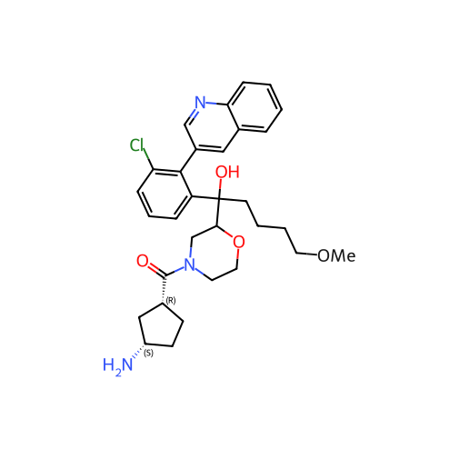 COCCCCC(O)(c1cccc(Cl)c1-c1cnc2ccccc2c1)C1CN(C(=O)[C@@H]2CC[C@H](N)C2)CCO1